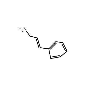 N[CH]C=Cc1ccccc1